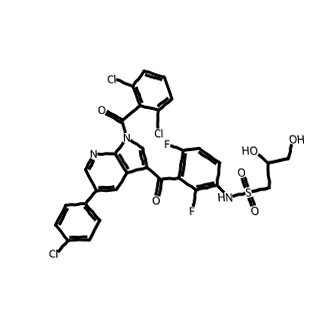 O=C(c1c(F)ccc(NS(=O)(=O)CC(O)CO)c1F)c1cn(C(=O)c2c(Cl)cccc2Cl)c2ncc(-c3ccc(Cl)cc3)cc12